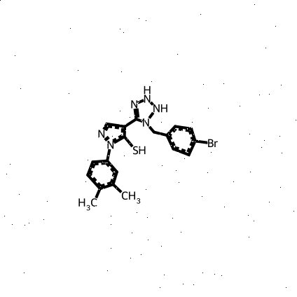 Cc1ccc(-n2ncc(C3=NNNN3Cc3ccc(Br)cc3)c2S)cc1C